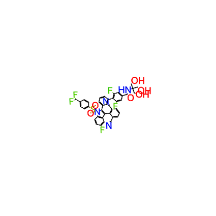 N#Cc1cccc(C#N)c1-c1c(-c2cccc(-c3c(F)cc(C(=O)NC(CO)(CO)CO)cc3F)c2)n(S(=O)(=O)c2ccc(C(F)F)cc2)c2ccc(F)cc12